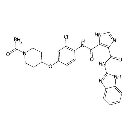 BC(=O)N1CCC(Oc2ccc(NC(=O)c3[nH]cnc3C(=O)Nc3nc4ccccc4[nH]3)c(Cl)c2)CC1